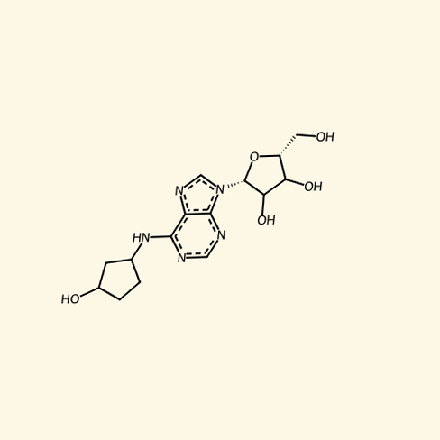 OC[C@H]1O[C@@H](n2cnc3c(NC4CCC(O)C4)ncnc32)C(O)C1O